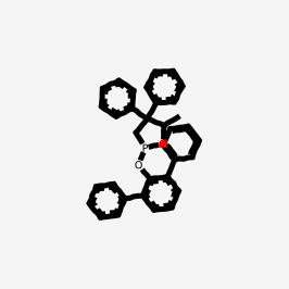 CC1OP(Oc2c(C3=CC=C=C=C3)cccc2-c2ccccc2)CC1(c1ccccc1)c1ccccc1